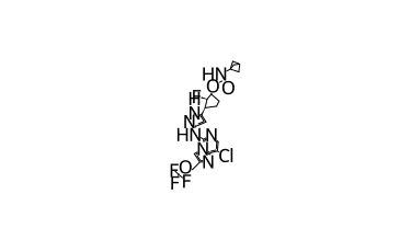 O=C(NC12CC(C1)C2)O[C@H]1CC[C@@H](c2cc(Nc3ncc(Cl)c4nc(COC(F)(F)F)cn34)n[nH]2)[C@H]1F